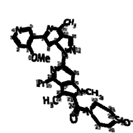 COc1ccncc1-c1cc2c(cnn2-c2cc3c(c(C(C)C)n2)c(C)c(C(=O)N2CC[S+]([O-])CC2)n3C)c(C)n1